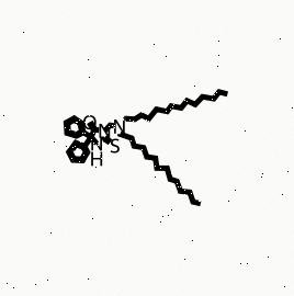 CCCCCCCCCCCCCCN(CCCCCCCCCCCCCC)CN1C(=O)C(c2ccccc2)(c2ccccc2)NC1=S